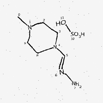 CN1CCN(C=NN)CC1.O=S(=O)(O)O